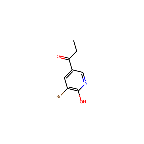 CCC(=O)c1cnc(O)c(Br)c1